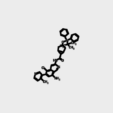 Cc1ccncc1-c1cc(N)c2cnc(NC(=O)C3C4CC(O[Si](c5ccccc5)(c5ccccc5)C(C)(C)C)CC43)cc2c1Cl